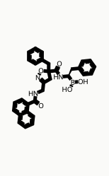 O=C(NCC1=NOC(Cc2ccccc2)(C(=O)N[C@@H](Cc2ccccc2)B(O)O)C1)c1cccc2ccccc12